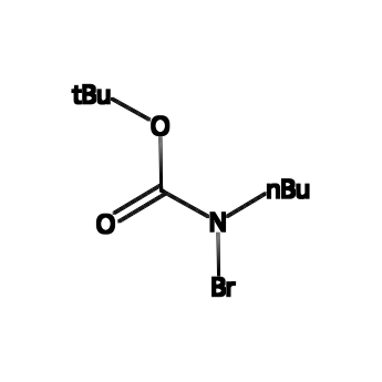 CCCCN(Br)C(=O)OC(C)(C)C